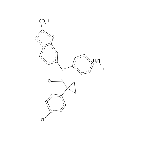 NO.O=C(O)c1cc2ccc(N(C(=O)C3(c4ccc(Cl)cc4)CC3)c3ccccc3)cc2s1